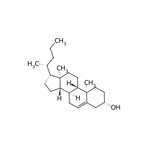 CCC[C@@H](C)[C@H]1CC[C@H]2[C@@H]3CC=C4C[C@@H](O)CC[C@]4(C)[C@H]3CC[C@]12C